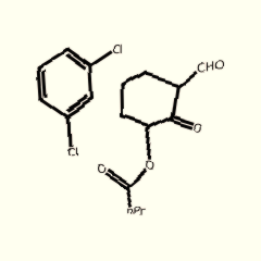 CCCC(=O)OC1CCCC(C=O)C1=O.Clc1cccc(Cl)c1